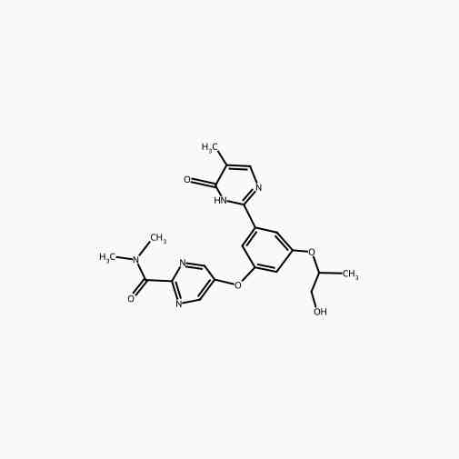 Cc1cnc(-c2cc(Oc3cnc(C(=O)N(C)C)nc3)cc(OC(C)CO)c2)[nH]c1=O